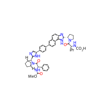 COC(=O)N[C@@H](C(=O)N1[C@@H]2CC[C@@H](C2)[C@H]1c1ncc(-c2ccc(-c3ccc4c(ccc5nc([C@@H]6CCCN6C(=O)[C@@H](NC(=O)O)C(C)C)[nH]c54)c3)cc2)[nH]1)c1ccccc1